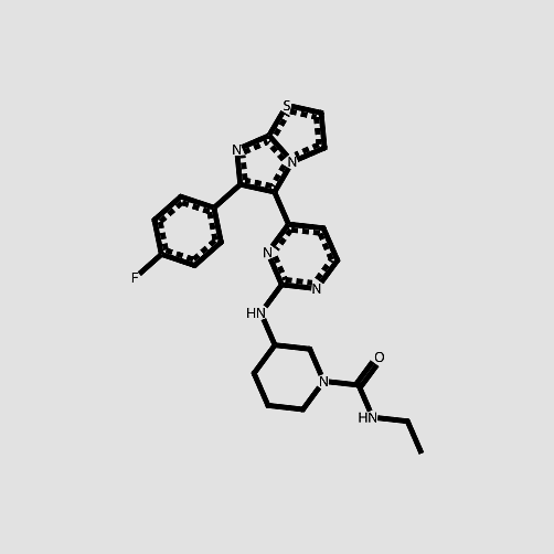 CCNC(=O)N1CCCC(Nc2nccc(-c3c(-c4ccc(F)cc4)nc4sccn34)n2)C1